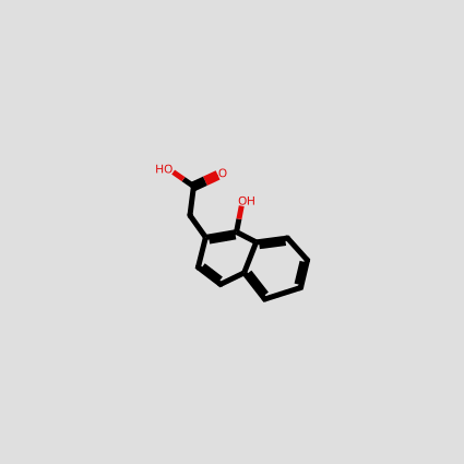 O=C(O)Cc1ccc2ccccc2c1O